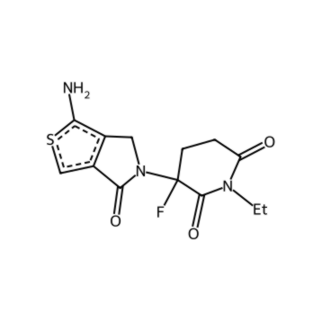 CCN1C(=O)CCC(F)(N2Cc3c(csc3N)C2=O)C1=O